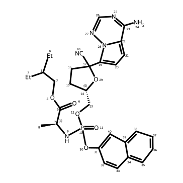 CCC(CC)COC(=O)[C@H](C)NP(=O)(OC[C@@H]1CCC(C#N)(c2ccc3c(N)ncnn23)O1)Oc1ccc2ccccc2c1